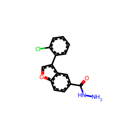 NNC(=O)c1ccc2occ(-c3ccccc3Cl)c2c1